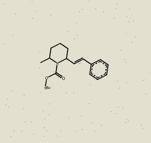 CC1CCCC(/C=C/c2ccccc2)N1C(=O)OC(C)(C)C